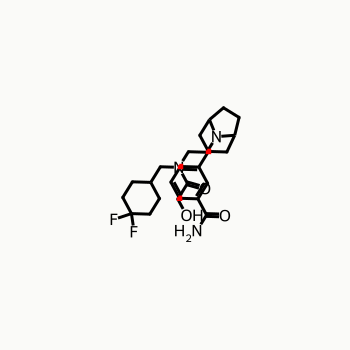 NC(=O)c1cccc(C2CC3CCC(C2)N3CCN(CC2CCC(F)(F)CC2)C(=O)CO)c1